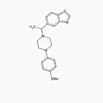 CSc1ccc(N2CCN(C(C)c3ccc4scnc4c3)CC2)cc1